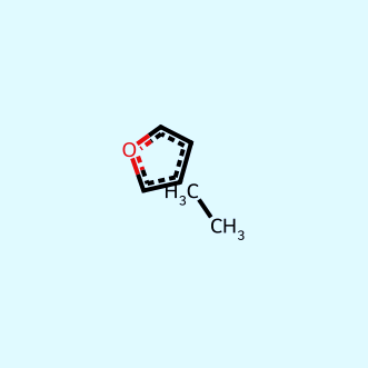 CC.c1ccoc1